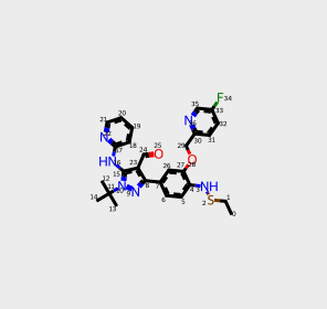 CCSNc1ccc(-c2nn(C(C)(C)C)c(Nc3ccccn3)c2C=O)cc1OCc1ccc(F)cn1